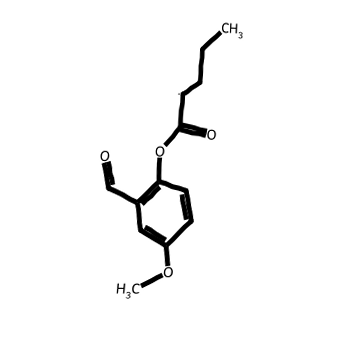 CCC[CH]C(=O)Oc1ccc(OC)cc1C=O